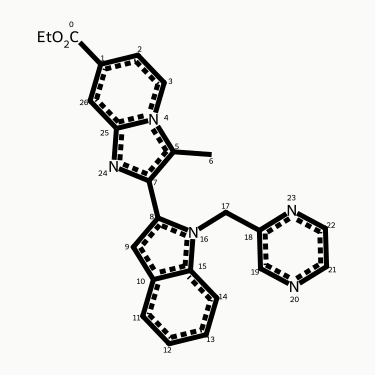 CCOC(=O)c1ccn2c(C)c(-c3cc4ccccc4n3Cc3cnccn3)nc2c1